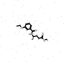 CCOc1cccc(C(=O)N[C@H](C)CCC(=O)OC)c1